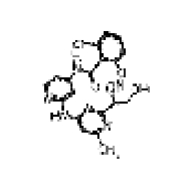 Cc1cc(Nc2cc(NC(=O)c3c(Cl)cccc3Cl)ccn2)nc(C(O)CO)n1